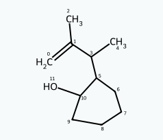 C=C(C)C(C)C1CCCCC1O